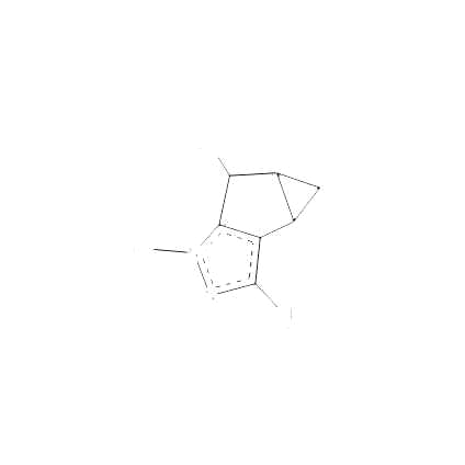 CC(C)n1nc(C(F)(F)F)c2c1C(O)C1CC21